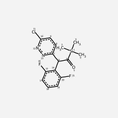 C[Si](C)(C)C(=O)C(c1ccc(Cl)nn1)c1c(F)cccc1F